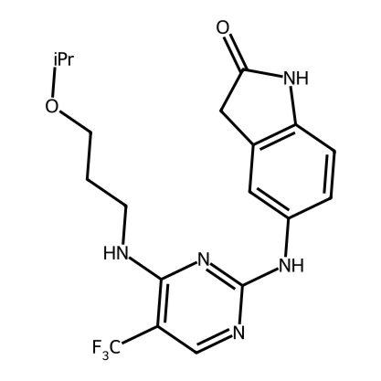 CC(C)OCCCNc1nc(Nc2ccc3c(c2)CC(=O)N3)ncc1C(F)(F)F